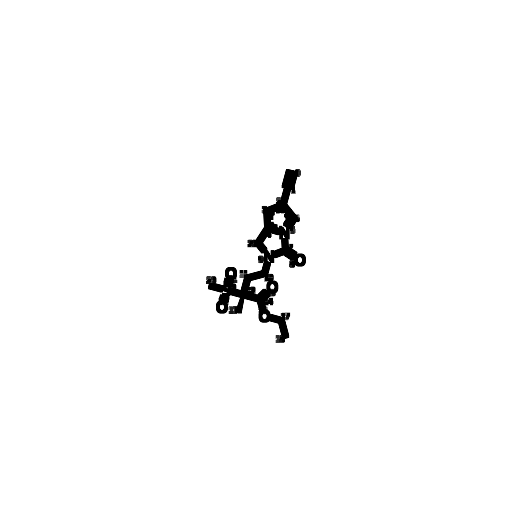 C#Cc1cc2n(c1)C(=O)N(CC[C@](C)(C(=O)OCC)S(C)(=O)=O)C2